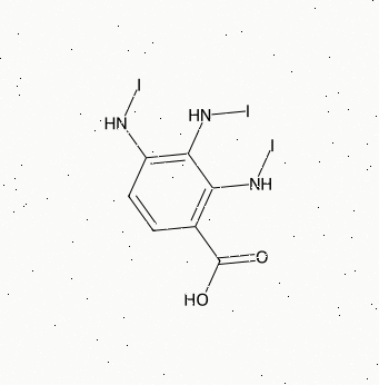 O=C(O)c1ccc(NI)c(NI)c1NI